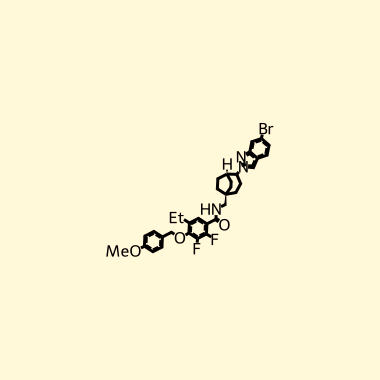 CCc1cc(C(=O)NC[C@]23CCC(n4cc5ccc(Br)cc5n4)[C@@H](CC2)CC3)c(F)c(F)c1OCc1ccc(OC)cc1